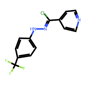 FC(F)(F)c1ccc(NN=C(Cl)c2ccncc2)cc1